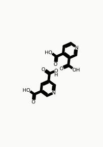 O=C(O)c1ccncc1C(=O)O.O=C(O)c1cncc(C(=O)O)c1